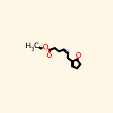 CCOC(=O)CC/C=C\CC1=CCCC1=O